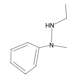 CCNN(C)c1ccccc1